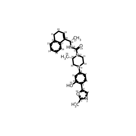 Cc1ncc(-c2ccc(N3CCN(C(=O)N[C@@H](C)C4=CCCc5ccccc54)[C@@H](C)C3)cc2O)o1